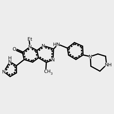 CCn1c(=O)c(-c2ccn[nH]2)cc2c(C)nc(Nc3ccc(N4CCNCC4)cc3)nc21